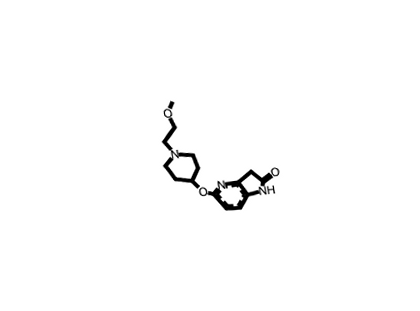 COCCN1CCC(Oc2ccc3c(n2)CC(=O)N3)CC1